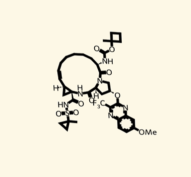 COc1ccc2nc(C(F)(F)F)c(O[C@@H]3C[C@H]4C(=O)N[C@]5(C(=O)NS(=O)(=O)C6(C)CC6)C[C@H]5/C=C\CCCCC[C@H](NC(=O)OC5(C)CCC5)C(=O)N4C3)nc2c1